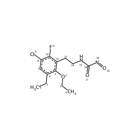 CCOc1c(CC)cc(Cl)c(F)c1CCNC(=O)N=O